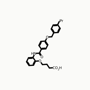 CC(C)c1ccc(COc2ccc(C(=O)Nc3ccccc3OCCCC(=O)O)cc2)cc1